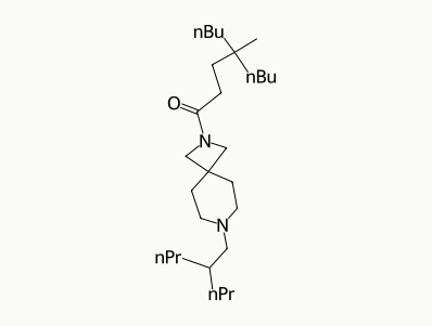 CCCCC(C)(CCCC)CCC(=O)N1CC2(CCN(CC(CCC)CCC)CC2)C1